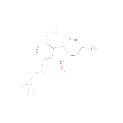 C[SiH](C)OCc1ccc(O)c2c1C(=O)c1cc(C(C)(C)C)ccc1-2